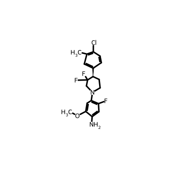 COc1cc(N2CC[C@H](c3ccc(Cl)c(C)c3)C(F)(F)C2)c(F)cc1N